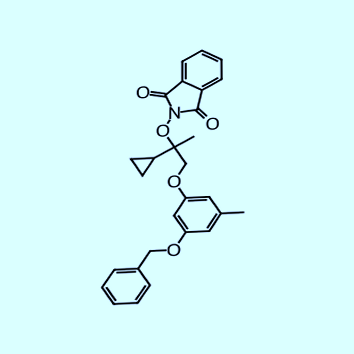 Cc1cc(OCc2ccccc2)cc(OCC(C)(ON2C(=O)c3ccccc3C2=O)C2CC2)c1